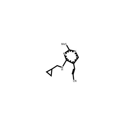 CSc1ncc(C=CC#N)c(NCC2CC2)n1